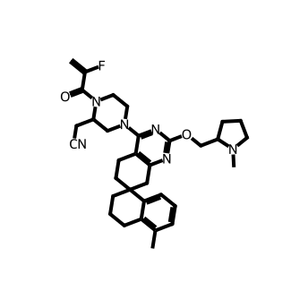 C=C(F)C(=O)N1CCN(c2nc(OCC3CCCN3C)nc3c2CCC2(CCCc4c(C)cccc42)C3)CC1CC#N